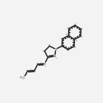 C/C=C/C=N/C1=NN(c2ccc3ccccc3c2)CC1